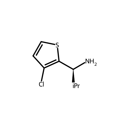 CC(C)[C@H](N)c1sccc1Cl